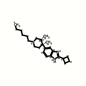 CCCCCCN1CC[C@](C)(c2ccc3[nH]c(C4CCC4)nc3c2)[C@@H](C)C1